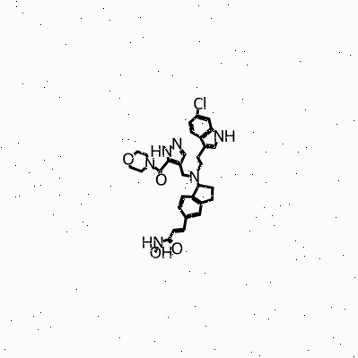 O=C(C=Cc1ccc2c(c1)CCC2N(CCc1c[nH]c2cc(Cl)ccc12)Cc1cn[nH]c1C(=O)N1CCOCC1)NO